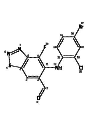 O=Cc1cc2snnc2c(F)c1Nc1ccc(Br)cc1Cl